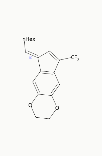 CCCCCC/C=C1\C=C(C(F)(F)F)c2cc3c(cc21)OCCO3